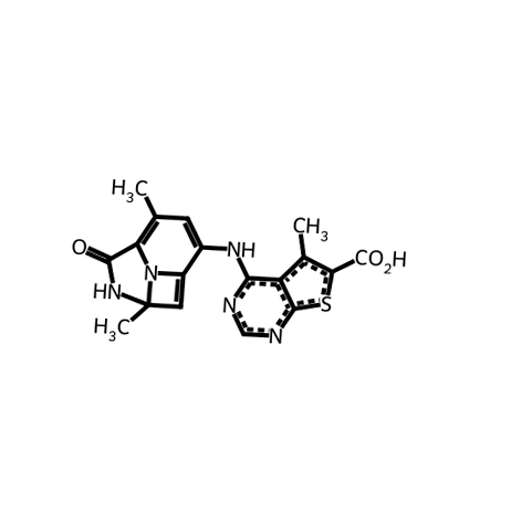 CC1=C2C(=O)NC3(C)C=C(C(Nc4ncnc5sc(C(=O)O)c(C)c45)=C1)N23